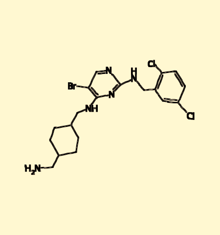 NCC1CCC(CNc2nc(NCc3cc(Cl)ccc3Cl)ncc2Br)CC1